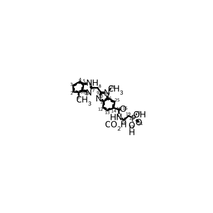 Cc1cccc2[nH]c(Cc3nc4ccc(C(=O)N[C@@H](CP(=O)(O)O)C(=O)O)cc4n3C)nc12